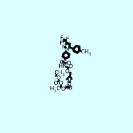 CCOC(=O)OC(C)On1on1N1CC(COC(=O)NS(=O)(=O)c2ccc(-n3nc(C(F)(F)F)cc3-c3ccc(C)cc3)cc2)C1